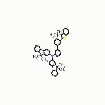 CC1(C)c2ccccc2-c2ccc(N(c3cccc(-c4ccc5c(c4)-c4sc6ccccc6c4C5(C)C)c3)c3ccc4c(c3)C(C)(C)c3ccccc3-4)cc21